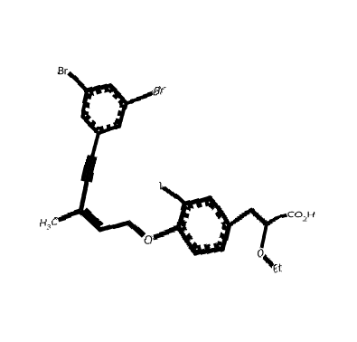 CCOC(Cc1ccc(OCC=C(C)C#Cc2cc(Br)cc(Br)c2)c(I)c1)C(=O)O